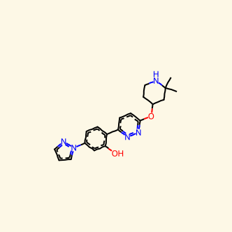 CC1(C)CC(Oc2ccc(-c3ccc(-n4cccn4)cc3O)nn2)CCN1